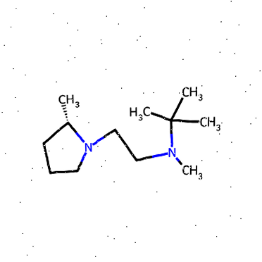 C[C@H]1CCCN1CCN(C)C(C)(C)C